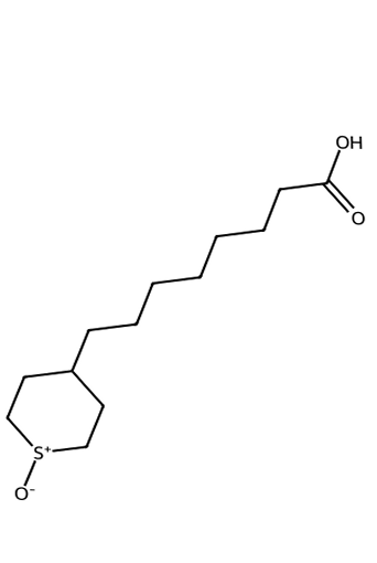 O=C(O)CCCCCCCC1CC[S+]([O-])CC1